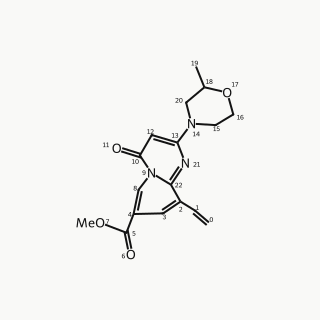 C=Cc1cc(C(=O)OC)cn2c(=O)cc(N3CCOC(C)C3)nc12